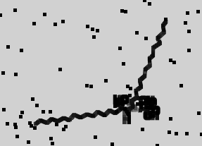 CCCCCCCCCCCCCCCC(=O)N[C@@H](COP(=O)(O)OC)[C@H](O)C(O)CCCCCCCCCCCCCC